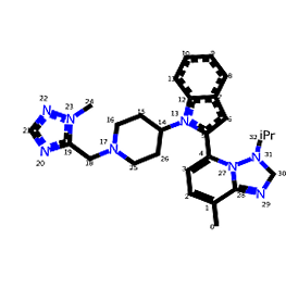 CC1=CC=C(c2cc3ccccc3n2C2CCN(Cc3ncnn3C)CC2)N2C1=NCN2C(C)C